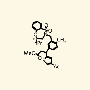 CCC[C@@H]1CN(Cc2cc(C(CC(=O)OC)c3cc(C(C)=O)cs3)ccc2C)S(=O)(=O)c2ccccc2O1